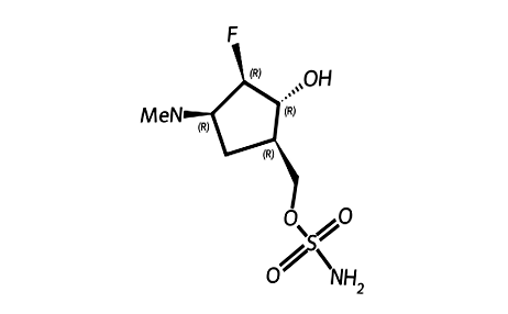 CN[C@@H]1C[C@H](COS(N)(=O)=O)[C@@H](O)[C@@H]1F